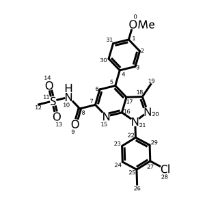 COc1ccc(-c2cc(C(=O)NS(C)(=O)=O)nc3c2c(C)nn3-c2ccc(C)c(Cl)c2)cc1